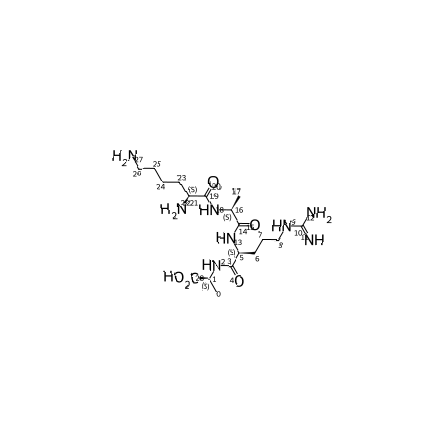 C[C@H](NC(=O)[C@H](CCCNC(=N)N)NC(=O)[C@H](C)NC(=O)[C@@H](N)CCCCN)C(=O)O